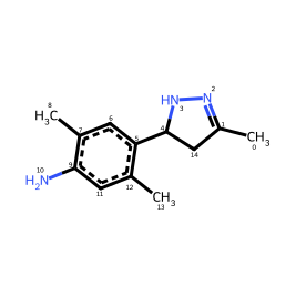 CC1=NNC(c2cc(C)c(N)cc2C)C1